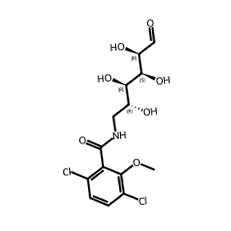 COc1c(Cl)ccc(Cl)c1C(=O)NC[C@@H](O)[C@@H](O)[C@H](O)[C@@H](O)C=O